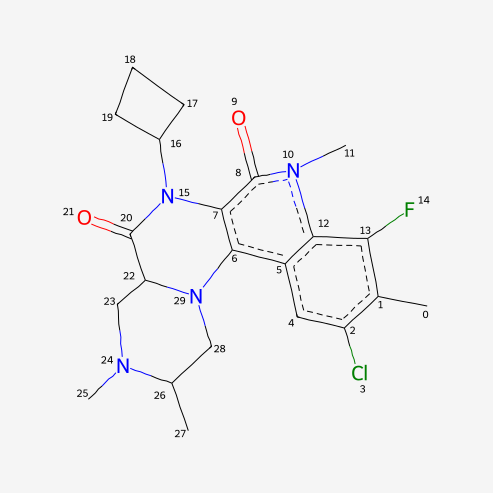 Cc1c(Cl)cc2c3c(c(=O)n(C)c2c1F)N(C1CCC1)C(=O)C1CN(C)C(C)CN31